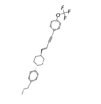 CCCc1ccc([C@H]2CC[C@H](C=CC#Cc3ccc(OC(F)(F)F)cc3)CC2)cc1